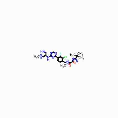 CN/C=C(\C=N)Nc1ncnc(-c2ccc([C@@H](C)NC(=O)c3nc(C(C)(C)C)no3)c(Cl)c2F)n1